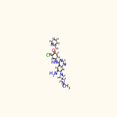 CN1CC2(C1)CN(c1cc3ncnc(Nc4ccc(OCc5ccccn5)c(Cl)c4)c3cc1N)C2